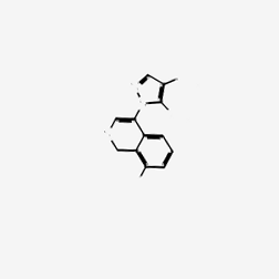 CCOC(=O)c1cnn(C2=CNCc3c(F)cccc32)c1C(F)(F)F